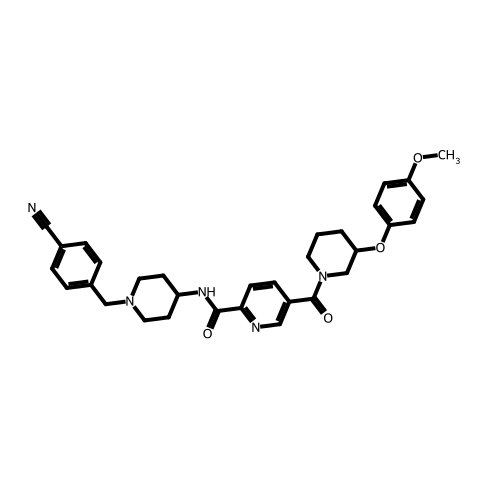 COc1ccc(OC2CCCN(C(=O)c3ccc(C(=O)NC4CCN(Cc5ccc(C#N)cc5)CC4)nc3)C2)cc1